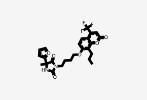 CCCc1c(OCCCCN2C(=O)NC(C)(c3ccco3)C2=O)ccc2c(C(F)(F)F)cc(=O)oc12